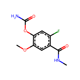 CNC(=O)c1cc(OC)c(OC(N)=O)cc1F